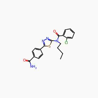 CCCCN(C(=O)c1ccccc1Cl)c1nnc(-c2ccc(C(N)=O)cc2)s1